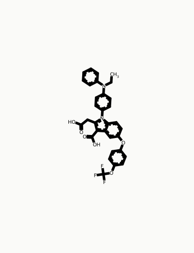 CCN(c1ccccc1)c1ccc(-n2c(CC(=O)O)c(C(=O)O)c3cc(Oc4ccc(OC(F)(F)F)cc4)ccc32)cc1